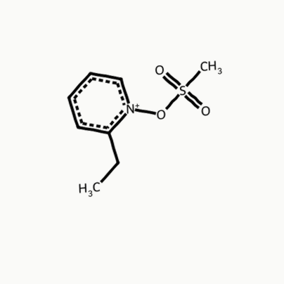 CCc1cccc[n+]1OS(C)(=O)=O